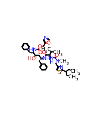 CCC(CC)c1nc(CN(C)C(=O)N[C@H](C(=O)N[C@@H](Cc2ccccc2)C[C@H](O)[C@H](Cc2ccccc2)NC(=O)OCc2cnco2)C(C)C)cs1